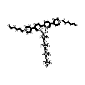 CCCCCC[n+]1ccc(-c2ccc(-c3ccc(-c4cc[n+](CCCCCC)cc4)c[n+]3C)[n+](C)c2)cc1.F[B-](F)(F)F.F[B-](F)(F)F.F[B-](F)(F)F.F[B-](F)(F)F